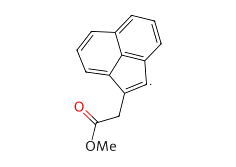 COC(=O)CC1=[C]c2cccc3cccc1c23